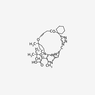 Cc1nc2cc3nn2c(c1[C@H](OC(C)(C)C)C(=O)O)N1CCC(C)(CC1)OC=CCCOC1(CCCCC1)c1cn(nn1)C3